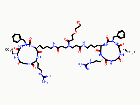 N=C(N)NCCC[C@@H]1NC(=O)[C@H](CCCCNC(=O)CCN(CCC(=O)NCCCC[C@@H]2NC(=O)N(Cc3ccccc3)NC(=O)[C@H](CC(=O)O)NC(=O)CNC(=O)[C@H](CCCNC(=N)N)NC2=O)C(=O)CCOCCO)NC(=O)N(Cc2ccccc2)NC(=O)[C@H](CC(=O)O)NC(=O)CNC1=O